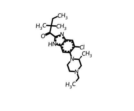 CCN1CCN(c2cc3[nH]c(C(=O)C(C)(C)CC)nc3cc2Cl)[C@@H](C)C1